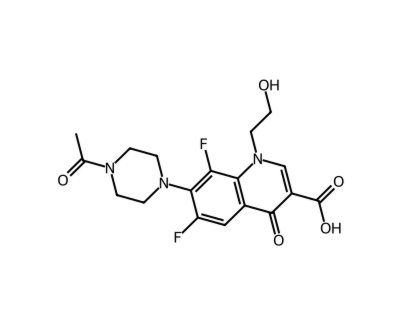 CC(=O)N1CCN(c2c(F)cc3c(=O)c(C(=O)O)cn(CCO)c3c2F)CC1